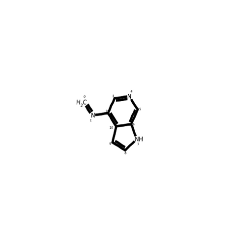 C=Nc1cncc2[nH]ccc12